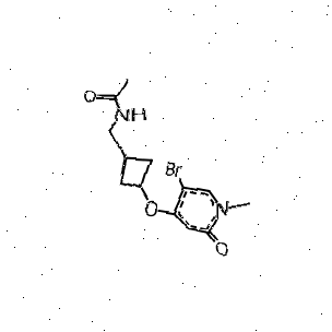 CC(=O)NCC1CC(Oc2cc(=O)n(C)cc2Br)C1